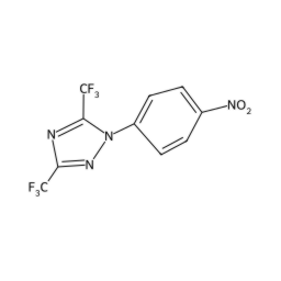 O=[N+]([O-])c1ccc(-n2nc(C(F)(F)F)nc2C(F)(F)F)cc1